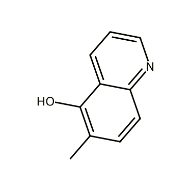 Cc1ccc2ncccc2c1O